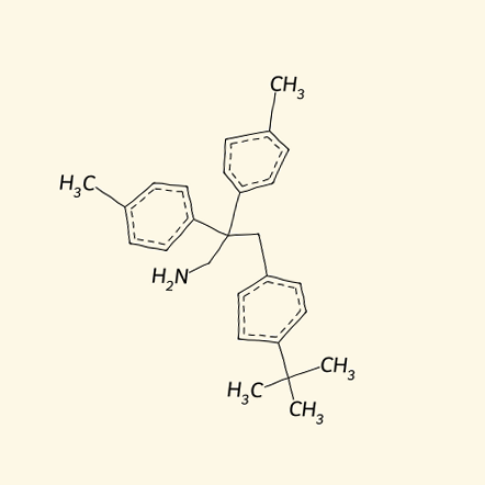 Cc1ccc(C(CN)(Cc2ccc(C(C)(C)C)cc2)c2ccc(C)cc2)cc1